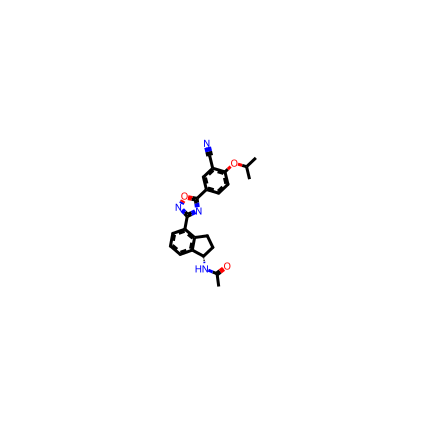 CC(=O)N[C@H]1CCc2c(-c3noc(-c4ccc(OC(C)C)c(C#N)c4)n3)cccc21